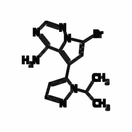 CC(C)n1nccc1-c1cc(Br)n2ncnc(N)c12